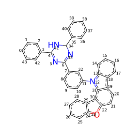 c1ccc(C2=NC(c3cccc(-n4c5ccccc5c5ccc6oc7ccccc7c6c54)c3)=NC(c3ccccc3)N2)cc1